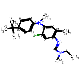 CCN(C)C=Nc1cc(F)c(N(C)c2ccc(C(C)(C)C)cc2)cc1C